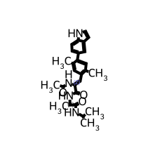 CC(=O)N/C(=C\c1cc(C)c(-c2ccc3[nH]ccc3c2)cc1C)C(=O)N[C@H](C)C(=O)NC(C)C